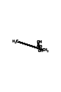 CCC=C(O)C(CCCCCCCCCCCCCCCCCC)C(=O)OCCO